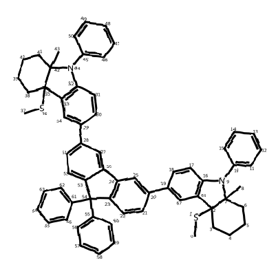 CSC12CCCCC1(C)N(c1ccccc1)c1ccc(-c3ccc4c(c3)-c3cc(-c5ccc6c(c5)C5(SC)CCCCC5(C)N6c5ccccc5)ccc3C4(c3ccccc3)c3ccccc3)cc12